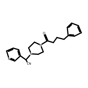 N#CC(c1cccnc1)N1CCN(C(=O)CCCc2ccccc2)CC1